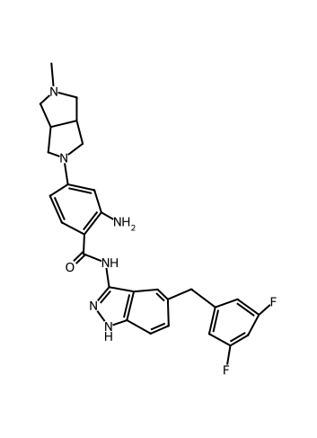 CN1CC2CN(c3ccc(C(=O)Nc4n[nH]c5ccc(Cc6cc(F)cc(F)c6)cc45)c(N)c3)CC2C1